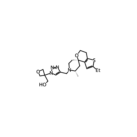 CCc1cc2c(s1)CCO[C@@]21CCN(Cc2cn(C3(CO)COC3)nn2)[C@@H](C)C1